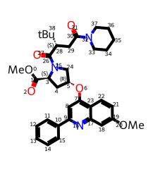 COC(=O)[C@@H]1C[C@@H](Oc2cc(-c3ccccc3)nc3cc(OC)ccc23)CN1C(=O)[C@@H](CC(=O)N1CCCCC1)C(C)(C)C